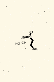 CCN(CC)CCN.Cl.Cl